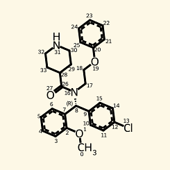 COc1ccccc1[C@@H](c1ccc(Cl)cc1)N(CCOc1ccccc1)C(=O)C1CCNCC1